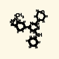 Cn1ncc2ccc(-c3cc(Nc4ccccc4)nc(N4CCOCC4)n3)cc21